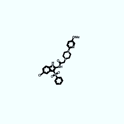 COc1ccc(N2CCN(CC(=O)Nc3[nH]c4ccc(Cl)cc4c3S(=O)(=O)c3ccccc3)CC2)nc1